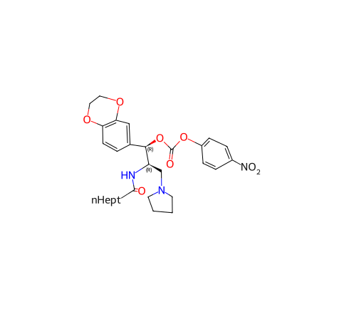 CCCCCCCC(=O)N[C@H](CN1CCCC1)[C@H](OC(=O)Oc1ccc([N+](=O)[O-])cc1)c1ccc2c(c1)OCCO2